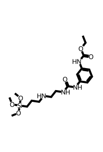 CCOC(=O)Nc1cccc(NC(=O)NCCNCCC[Si](OC)(OC)OC)c1